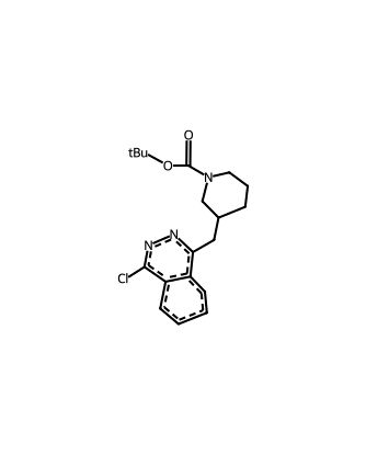 CC(C)(C)OC(=O)N1CCCC(Cc2nnc(Cl)c3ccccc23)C1